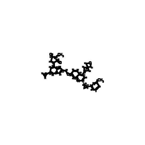 Cc1ccnc([C@H]2C[C@@H]2c2cc(N3CC4(COC4)C3)c3ccc(OCc4cn5cc(C6CC6)cc(N6CC(=O)N(C)C6=O)c5n4)cc3n2)n1